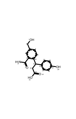 NC(=O)c1cc(CO)ccc1C(CC(=O)O)c1ccc(O)cc1